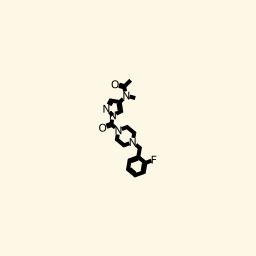 CC(=O)N(C)c1cnn(C(=O)N2CCN(Cc3ccccc3F)CC2)c1